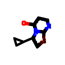 O=c1ccnc2scc(C3CC3)n12